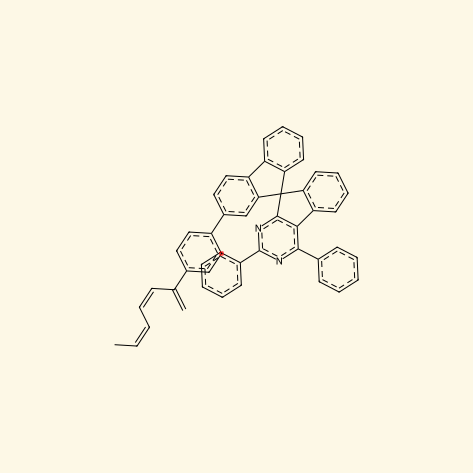 C=C(/C=C\C=C/C)c1ccc(-c2ccc3c(c2)C2(c4ccccc4-3)c3ccccc3-c3c(-c4ccccc4)nc(-c4ccccc4)nc32)cc1